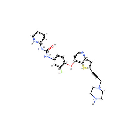 CN1CCN(CC#Cc2cc3nccc(Oc4ccc(NC(=O)Nc5ccccn5)cc4F)c3s2)CC1